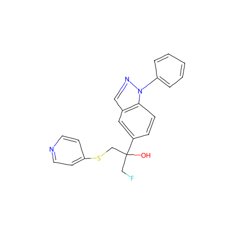 OC(CF)(CSc1ccncc1)c1ccc2c(cnn2-c2ccccc2)c1